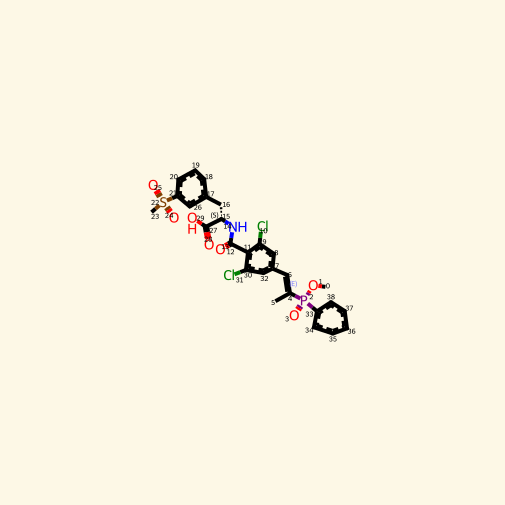 COP(=O)(/C(C)=C/c1cc(Cl)c(C(=O)N[C@@H](Cc2cccc(S(C)(=O)=O)c2)C(=O)O)c(Cl)c1)c1ccccc1